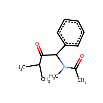 CC(=O)N(C)C(C(=O)C(C)C)c1ccccc1